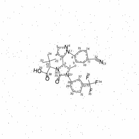 Cc1c(-c2ccnn2-c2ccc(C#N)cc2)n(C(C(=O)O)C(C)(C)C)c(=O)n1-c1cccc(C(F)(F)F)c1